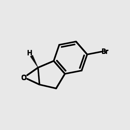 Brc1ccc2c(c1)CC1O[C@@H]21